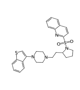 O=S(=O)(c1ccc2ccccc2n1)N1CCCC1CCN1CCN(c2csc3ccccc23)CC1